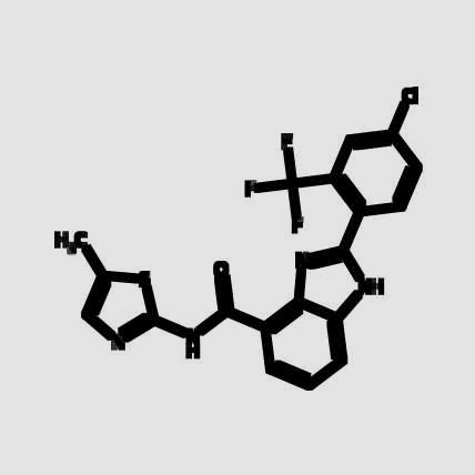 Cc1cnc(NC(=O)c2cccc3[nH]c(-c4ccc(Cl)cc4C(F)(F)F)nc23)s1